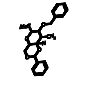 CS[C@@H]1OC2COC(c3ccccc3)O[C@H]2[C@H](C)C1OCc1ccccc1